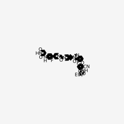 CCN(C)S(=O)(=O)Nc1ccc(F)c(Oc2ccc3ncn(C4CC5(CCN(C(=O)CN6CCC(c7ccc(NC8CCC(=O)NC8=O)cc7F)CC6)CC5)C4)c(=O)c3c2)c1C#N